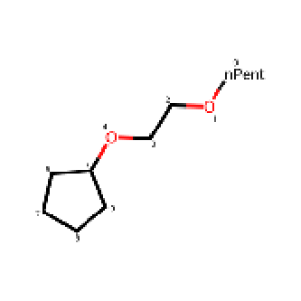 CCCCCOCCOC1CCCC1